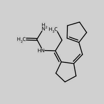 C=C(N)N/C(CC)=C1\CCC\C1=C\C1=CCCC1